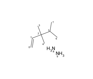 C=CC(C)(C)C(C)C.N.N